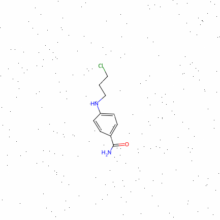 NC(=O)c1ccc(NCCCCl)cc1